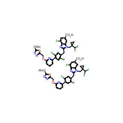 COc1nnc(COc2cccc(-c3cc(F)c(Cc4nc5c(F)cc(C(=O)O)cc5n4CC4(C(F)F)CC4)cc3F)n2)s1.COc1nnc(COc2cccc(-c3cc(F)c(Cc4nc5c(F)cc(C(=O)O)cc5n4CC4(C(F)F)CC4)cc3F)n2)s1